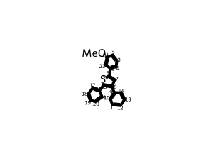 COc1cccc(-c2cc(-c3ccccc3)c(-c3ccccc3)s2)c1